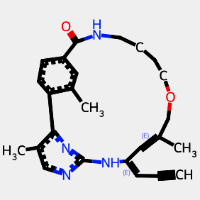 C#C/C=C1\C=C(/C)COCCCCNC(=O)c2ccc(c(C)c2)-c2nc(ncc2C)N1